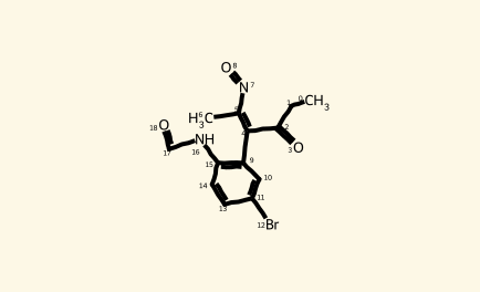 CCC(=O)/C(=C(/C)N=O)c1cc(Br)ccc1NC=O